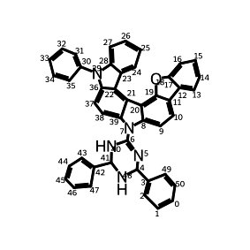 c1ccc(C2N=C(n3c4ccc5c6ccccc6oc5c4c4c5c6ccccc6n(-c6ccccc6)c5ccc43)NC(c3ccccc3)N2)cc1